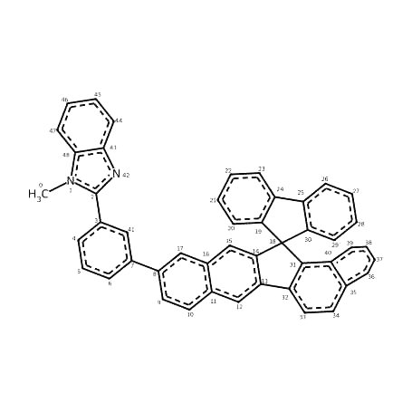 Cn1c(-c2cccc(-c3ccc4cc5c(cc4c3)C3(c4ccccc4-c4ccccc43)c3c-5ccc4ccccc34)c2)nc2ccccc21